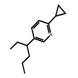 CCCC(CC)c1ccc(C2CC2)nc1